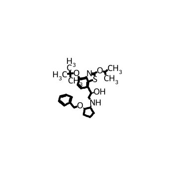 CC(C)Oc1nc2c(OC(C)(C)C)ccc([C@@H](O)CN[C@H]3CCC[C@@H]3OCc3ccccc3)c2s1